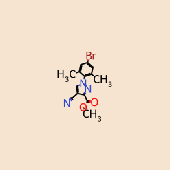 COC(=O)c1nn(-c2c(C)cc(Br)cc2C)cc1C#N